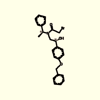 C[C@@H](c1ccccc1)N(C[C@H](O)c1ccc(OCc2ccccc2)cc1)C(=O)CBr